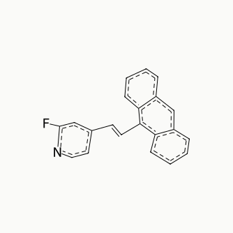 Fc1cc(C=Cc2c3ccccc3cc3ccccc23)ccn1